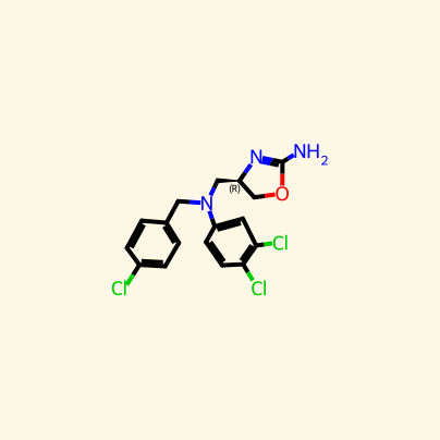 NC1=N[C@H](CN(Cc2ccc(Cl)cc2)c2ccc(Cl)c(Cl)c2)CO1